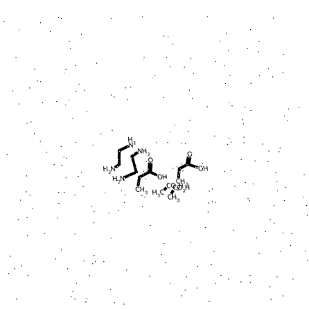 CC(=O)O.CC(=O)O.CCC(=O)O.CCC(=O)O.NCCN.NCCN